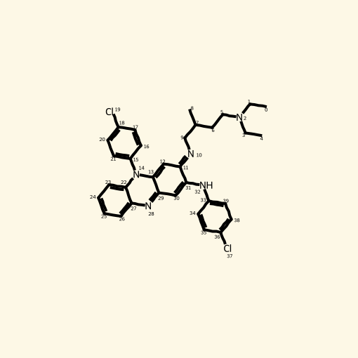 CCN(CC)CCC(C)CN=c1cc2n(-c3ccc(Cl)cc3)c3ccccc3nc-2cc1Nc1ccc(Cl)cc1